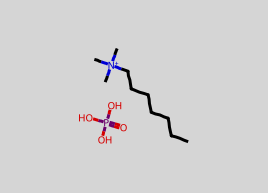 CCCCCCC[N+](C)(C)C.O=P(O)(O)O